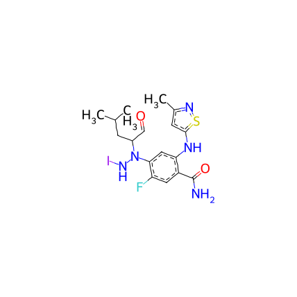 Cc1cc(Nc2cc(N(NI)C(C=O)CC(C)C)c(F)cc2C(N)=O)sn1